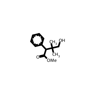 COC(=O)C(c1ccccc1)C(C)(C)CO